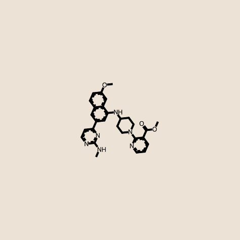 CNc1nccc(-c2cc(NC3CCN(c4ncccc4C(=O)OC)CC3)c3cc(OC)ccc3c2)n1